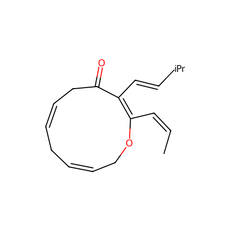 C\C=C/C1=C(\C=C\C(C)C)C(=O)C/C=C\C/C=C\CO1